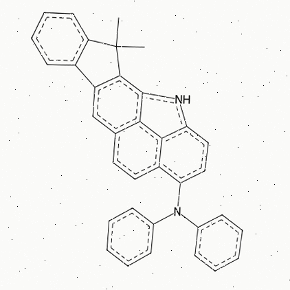 CC1(C)c2ccccc2-c2cc3ccc4c(N(c5ccccc5)c5ccccc5)ccc5[nH]c(c21)c3c54